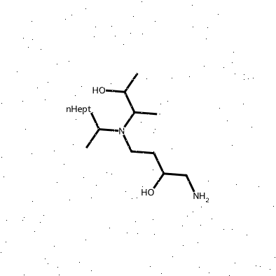 [CH2]C(C(C)O)N(CCC(O)CN)C(C)CCCCCCC